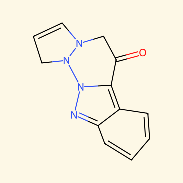 O=C1CN2C=CCN2n2nc3ccccc3c21